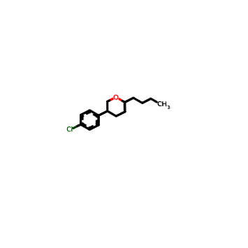 CCCCC1CCC(c2ccc(Cl)cc2)CO1